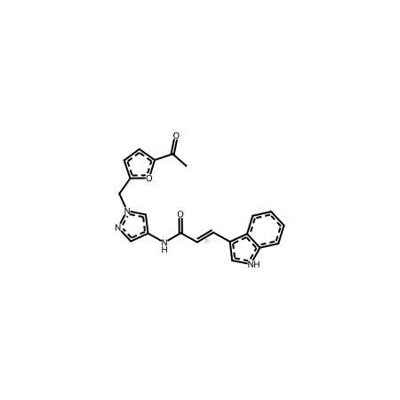 CC(=O)c1ccc(Cn2cc(NC(=O)/C=C/c3c[nH]c4ccccc34)cn2)o1